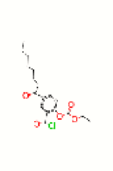 CCCCCCCC(=O)c1ccc(OC(=O)OCC)c(C(=O)Cl)c1